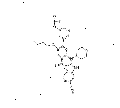 CCCCOc1cc2c(=O)c3c4ccc(C#N)cc4[nH]c3n(C3CCOCC3)c2cc1-c1cncc(OS(=O)(=O)F)c1